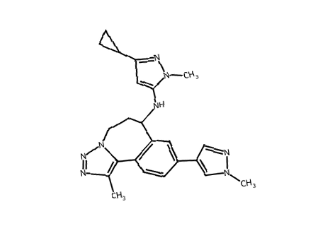 Cc1nnn2c1-c1ccc(-c3cnn(C)c3)cc1C(Nc1cc(C3CC3)nn1C)CC2